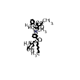 CCCCCCN(CC(CC)C(N)CCC)C(=O)c1cccc(/N=N/c2c(C)c(C(=O)OCC)c(=O)n(-c3ccccc3C)c2O)c1